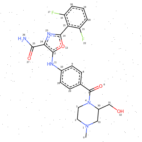 CN1CCN(C(=O)c2ccc(Nc3oc(-c4c(F)cccc4F)nc3C(N)=O)cc2)C(CO)C1